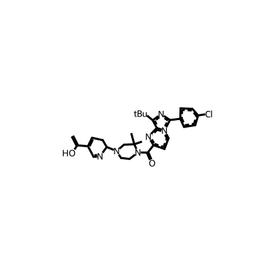 C=C(O)C1=CCC(N2CCN(C(=O)c3ccn4c(-c5ccc(Cl)cc5)nc(C(C)(C)C)c4n3)C(C)(C)C2)N=C1